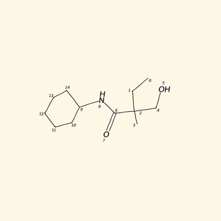 CCC(C)(CO)C(=O)NC1CCCCC1